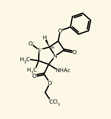 CC(=O)NC1(C(=O)OCC(Cl)(Cl)Cl)N2C(=O)C(Oc3ccccc3)[C@H]2[S+]([O-])C1(C)C